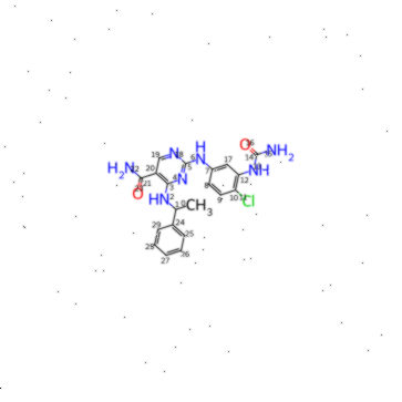 CC(Nc1nc(Nc2ccc(Cl)c(NC(N)=O)c2)ncc1C(N)=O)c1ccccc1